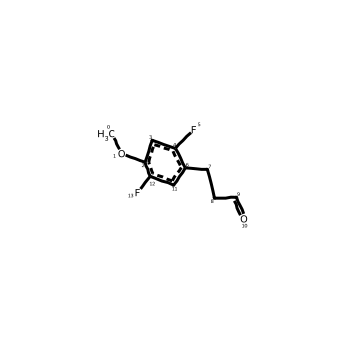 COc1cc(F)c(CCC=O)cc1F